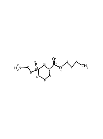 CCCCOC(=O)N1CCCC(F)(CCN)C1